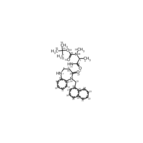 CC(C(=O)N[C@H]1CNc2ccccc2N(Cc2cccc3ccccc23)C1=O)N(C)C(=O)OC(C)(C)C